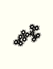 c1ccc([Si](c2ccccc2)(c2ccc(-c3nc(-n4c5ccccc5c5ccccc54)cc(-n4c5ccccc5c5ccccc54)n3)cc2)c2cccc(-n3c4ccccc4c4ccccc43)c2)cc1